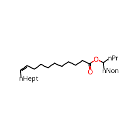 CCCCCCC/C=C\CCCCCCCCC(=O)OC(CCC)CCCCCCCCC